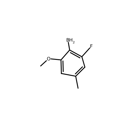 Bc1c(F)cc(C)cc1OC